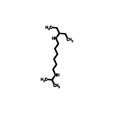 CCC(CC)NCCCCCCNC(C)C